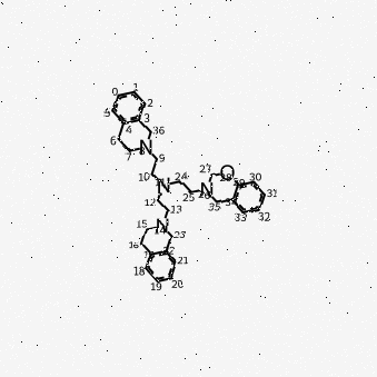 c1ccc2c(c1)CCN(CCN(CCN1CCc3ccccc3C1)CCN1COc3ccccc3C1)C2